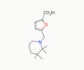 CCOC(=O)c1ccc(CN2CCCC(C)(C)C2(C)C)o1